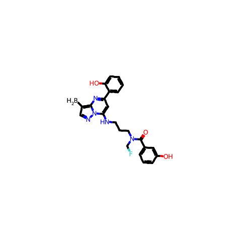 Bc1cnn2c(NCCCN(CF)C(=O)c3cccc(O)c3)cc(-c3ccccc3O)nc12